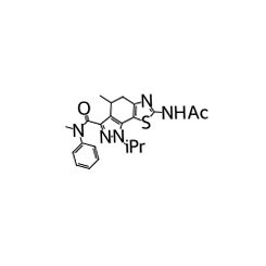 CC(=O)Nc1nc2c(s1)-c1c(c(C(=O)N(C)c3ccccc3)nn1C(C)C)C(C)C2